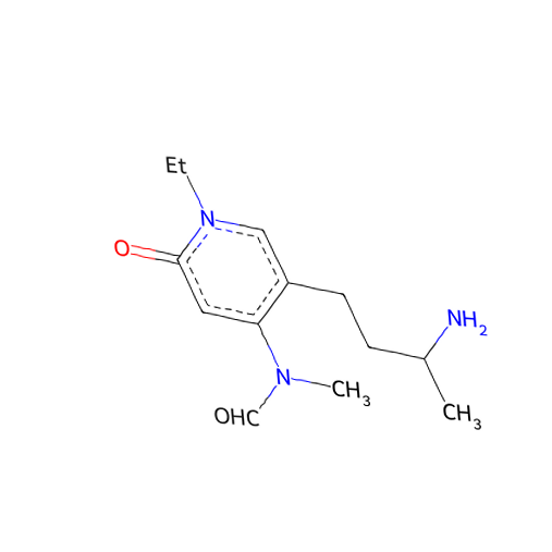 CCn1cc(CCC(C)N)c(N(C)C=O)cc1=O